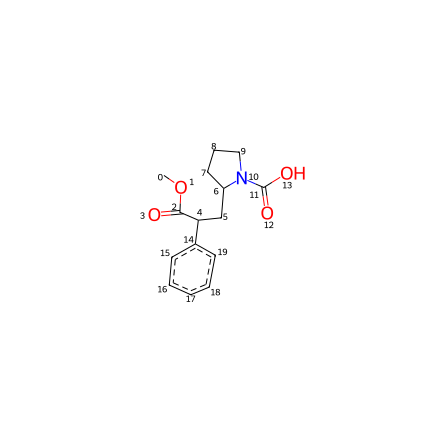 COC(=O)C(CC1CCCN1C(=O)O)c1ccccc1